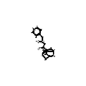 O=C(C[S+]([O-])Cc1ccncc1)C12CC3CC(CC(C3)C1)C2